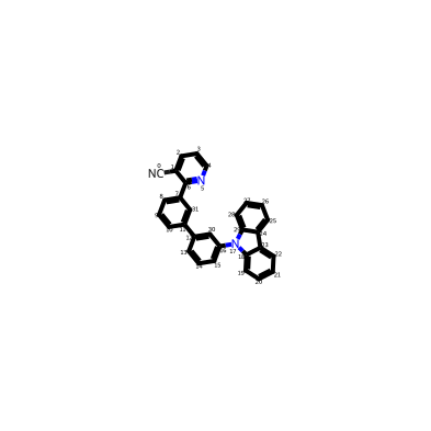 N#Cc1cccnc1-c1cccc(-c2cccc(-n3c4ccccc4c4ccccc43)c2)c1